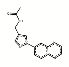 CC(=O)NCc1cnn(-c2ccc3nccnc3c2)c1